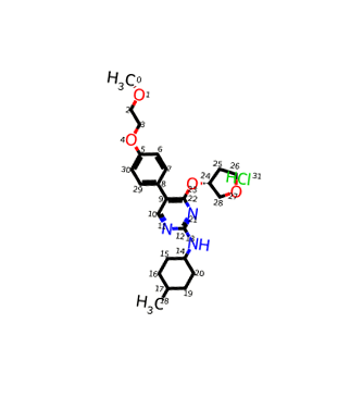 COCCOc1ccc(-c2cnc(NC3CCC(C)CC3)nc2O[C@@H]2CCOC2)cc1.Cl